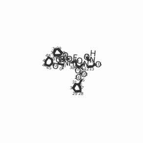 C[C@H](NP(=O)(OC[C@@]1(F)O[C@@H](n2ccc(=O)[nH]c2=O)[C@](C)(OC(=O)OCc2ccccc2)[C@@H]1C)Oc1ccccc1)C(=O)OC1CCCCC1